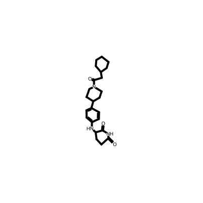 O=C1CCC(Nc2ccc(C3CCN(C(=O)CC4CCCCC4)CC3)cc2)C(=O)N1